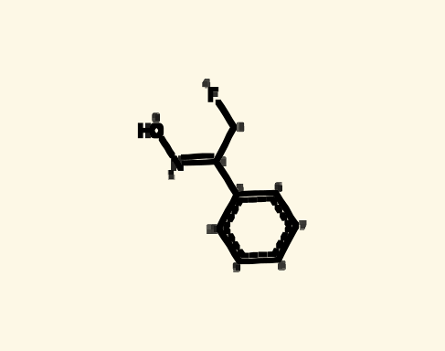 ON=C(CF)c1ccccc1